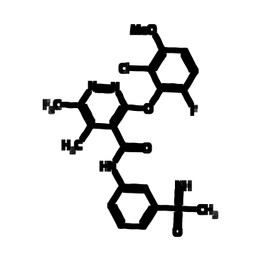 COc1ccc(F)c(Oc2nnc(C(F)(F)F)c(C)c2C(=O)Nc2cccc(S(C)(=N)=O)c2)c1Cl